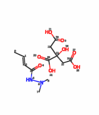 CC=CC(=O)NN(C)C.O=C(O)CC(O)(CC(=O)O)C(=O)O